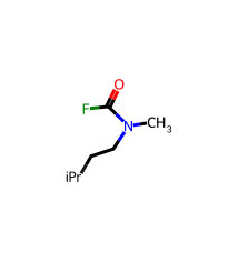 CC(C)CCN(C)C(=O)F